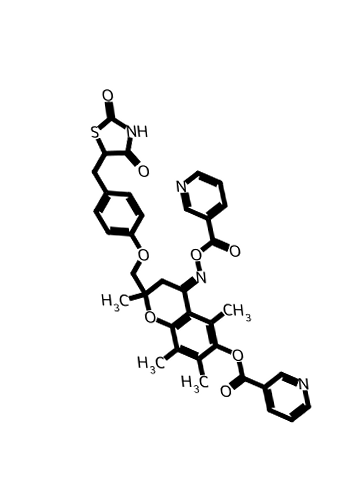 Cc1c(C)c2c(c(C)c1OC(=O)c1cccnc1)/C(=N/OC(=O)c1cccnc1)CC(C)(COc1ccc(CC3SC(=O)NC3=O)cc1)O2